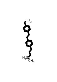 CCc1ccc(CCc2ccc(CCC[SiH2]C)cc2)cc1